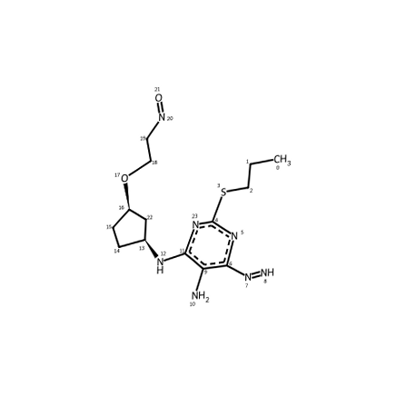 CCCSc1nc(N=N)c(N)c(N[C@H]2CC[C@@H](OCCN=O)C2)n1